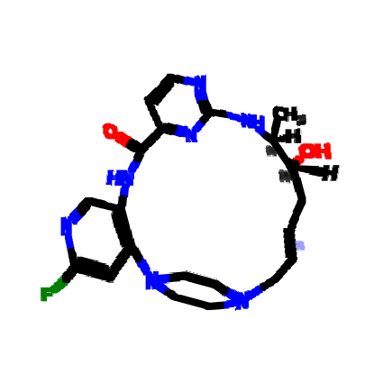 C[C@@H]1Nc2nccc(n2)C(=O)Nc2cnc(F)cc2N2CCN(C/C=C/C[C@H]1O)CC2